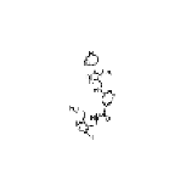 CCn1ncc(Cl)c1CNC(=O)c1cccc(NCc2nnc(-c3ccncn3)n2C)c1